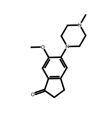 COc1cc2c(cc1N1CCN(C)CC1)CCC2=O